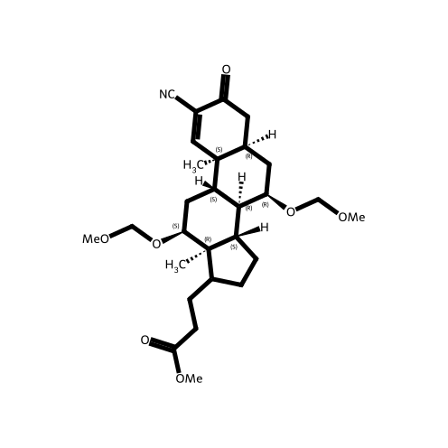 COCO[C@H]1C[C@H]2[C@@H]([C@H](OCOC)C[C@@H]3CC(=O)C(C#N)=C[C@@]32C)[C@@H]2CCC(CCC(=O)OC)[C@@]12C